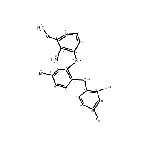 COc1nccc(Nc2cc(Br)ccc2Oc2ccc(F)cc2F)c1N